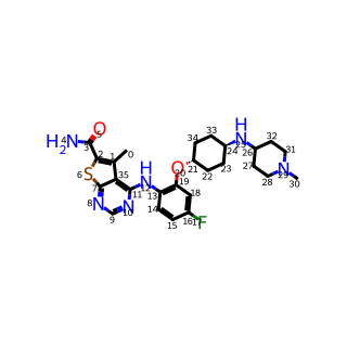 Cc1c(C(N)=O)sc2ncnc(Nc3ccc(F)cc3O[C@H]3CC[C@H](NC4CCN(C)CC4)CC3)c12